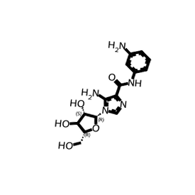 Nc1cccc(NC(=O)c2ncn([C@@H]3O[C@H](CO)C(O)[C@@H]3O)c2N)c1